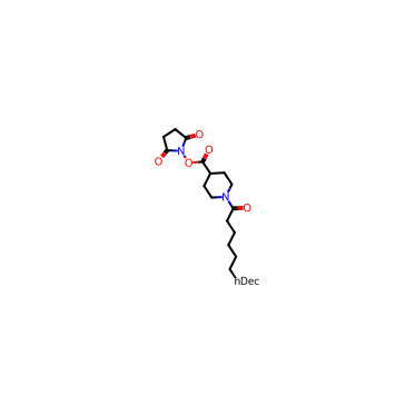 CCCCCCCCCCCCCCCC(=O)N1CCC(C(=O)ON2C(=O)CCC2=O)CC1